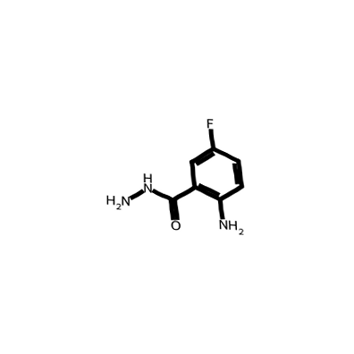 NNC(=O)c1cc(F)ccc1N